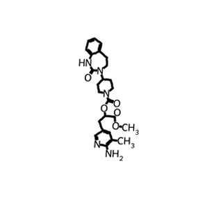 COC(=O)C(Cc1cnc(N)c(C)c1)OC(=O)N1CCC(N2CCc3ccccc3NC2=O)CC1